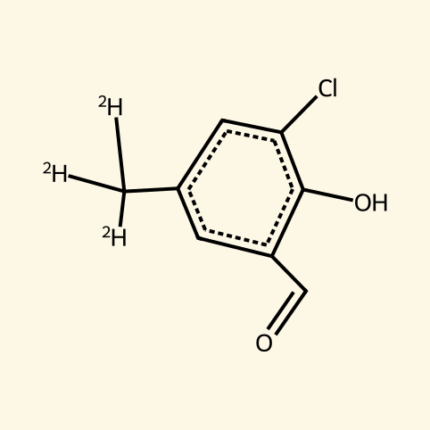 [2H]C([2H])([2H])c1cc(Cl)c(O)c(C=O)c1